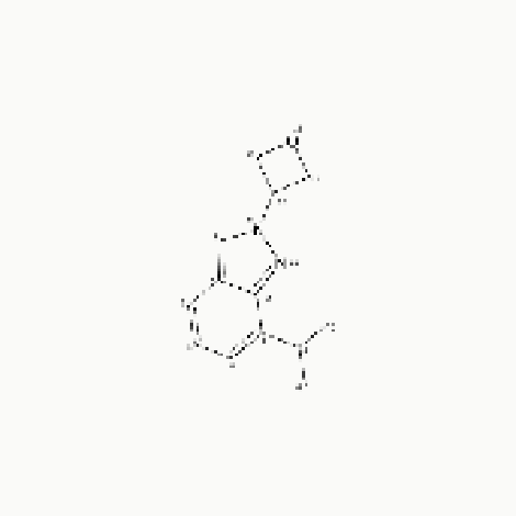 CC(C)c1cccc2cn(C3COC3)nc12